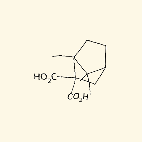 CC1(C)C2CCC1(C)C(C(=O)O)(C(=O)O)C2